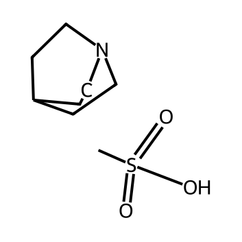 C1CN2CCC1CC2.CS(=O)(=O)O